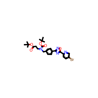 CC(C)(C)OC(=O)CCN(Cc1ccc(-c2noc(-c3ccc(Br)cn3)n2)cc1)C(=O)OC(C)(C)C